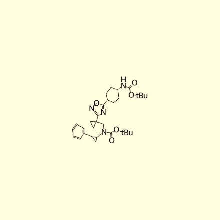 CC(C)(C)OC(=O)NC1CCC(c2nc(C3(CN(C(=O)OC(C)(C)C)C4CC4c4ccccc4)CC3)no2)CC1